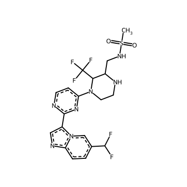 CS(=O)(=O)NCC1NCCN(c2ccnc(-c3cnc4ccc(C(F)F)cn34)n2)C1C(F)(F)F